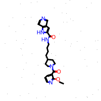 CCOc1ncccc1C(=O)N1CCC(CCCCNC(=O)c2cc3cnccc3[nH]2)CC1